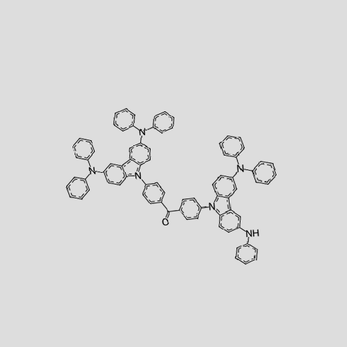 O=C(c1ccc(-n2c3ccc(Nc4ccccc4)cc3c3cc(N(c4ccccc4)c4ccccc4)ccc32)cc1)c1ccc(-n2c3ccc(N(c4ccccc4)c4ccccc4)cc3c3cc(N(c4ccccc4)c4ccccc4)ccc32)cc1